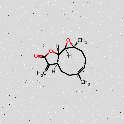 C=C1C(=O)O[C@@H]2[C@H]3O[C@]3(C)CC/C=C(/C)CC[C@@H]12